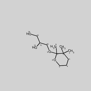 CC1(C)CCCOC1([SiH3])OCC(O)CO